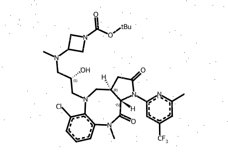 Cc1cc(C(F)(F)F)cc(N2C(=O)C[C@@H]3CN(C[C@@H](O)CN(C)C4CN(C(=O)OC(C)(C)C)C4)c4c(Cl)cccc4N(C)C(=O)[C@H]32)n1